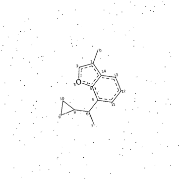 Cc1coc2c(C(C)C3CC3)cccc12